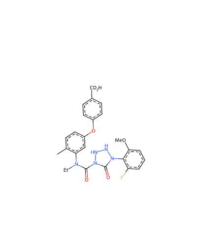 CCN(C(=O)N1NNN(c2c(F)cccc2OC)C1=O)c1cc(Oc2ccc(C(=O)O)cc2)ccc1C